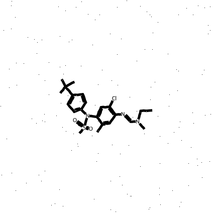 CCN(C)C=Nc1cc(C)c(N(c2ccc(C(C)(C)C)cc2)S(C)(=O)=O)cc1Cl